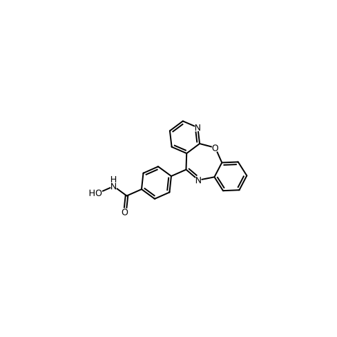 O=C(NO)c1ccc(C2=Nc3ccccc3Oc3ncccc32)cc1